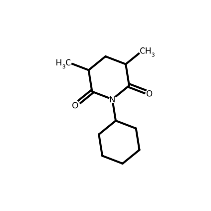 CC1CC(C)C(=O)N(C2CCCCC2)C1=O